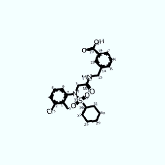 Cc1c(Cl)cccc1N(CC(=O)NCc1cccc(C(=O)O)c1)S(=O)(=O)C1CCCCC1